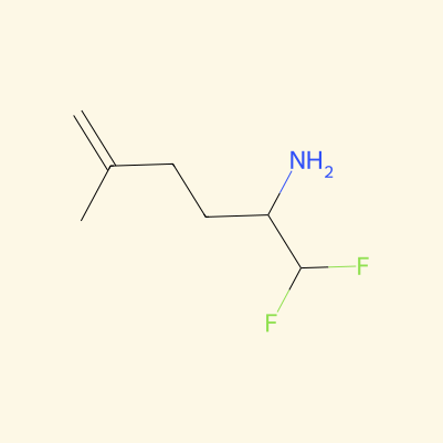 C=C(C)CCC(N)C(F)F